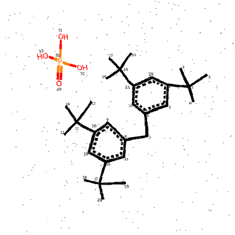 CC(C)(C)c1cc(Cc2cc(C(C)(C)C)cc(C(C)(C)C)c2)cc(C(C)(C)C)c1.O=P(O)(O)O